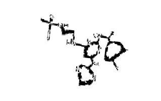 C[C@H](Nc1nc(NCCNS(C)(=O)=O)cc(Nc2cnccn2)n1)c1ccc(F)cc1